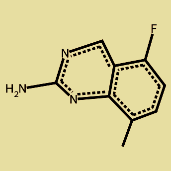 Cc1ccc(F)c2cnc(N)nc12